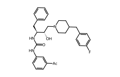 CC(=O)c1cccc(NC(=O)N[C@@H](Cc2ccccc2)[C@@H](O)CN2CCC(Cc3ccc(F)cc3)CC2)c1